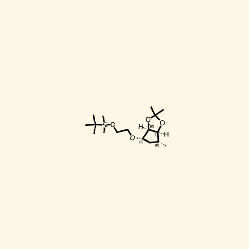 C[C@@H]1C[C@H](OCCO[Si](C)(C)C(C)(C)C)[C@H]2OC(C)(C)O[C@H]21